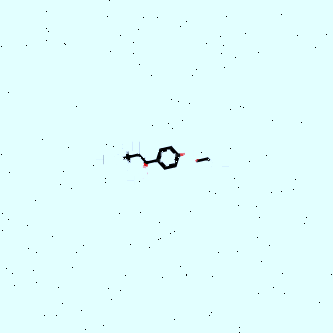 CCCOc1ccc(C(=O)CC(C)(C)C)cc1